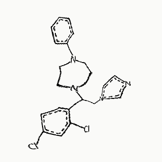 Clc1ccc(C(Cn2ccnc2)N2CCN(c3ccccc3)CC2)c(Cl)c1